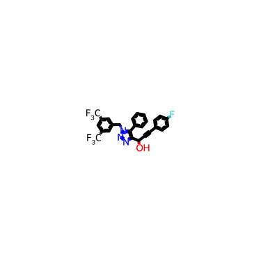 OC(C#Cc1ccc(F)cc1)c1nnn(Cc2cc(C(F)(F)F)cc(C(F)(F)F)c2)c1-c1ccccc1